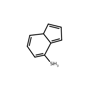 [SiH3]C1=CC=CC2C=CC=C12